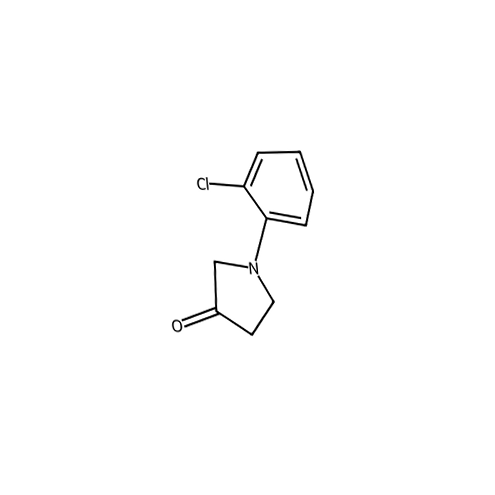 O=C1CCN(c2ccccc2Cl)C1